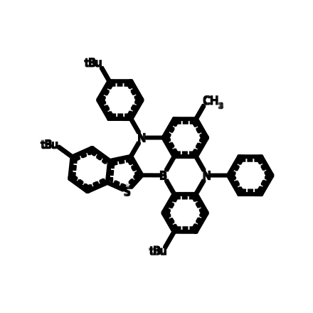 Cc1cc2c3c(c1)N(c1ccc(C(C)(C)C)cc1)c1c(sc4ccc(C(C)(C)C)cc14)B3c1cc(C(C)(C)C)ccc1N2c1ccccc1